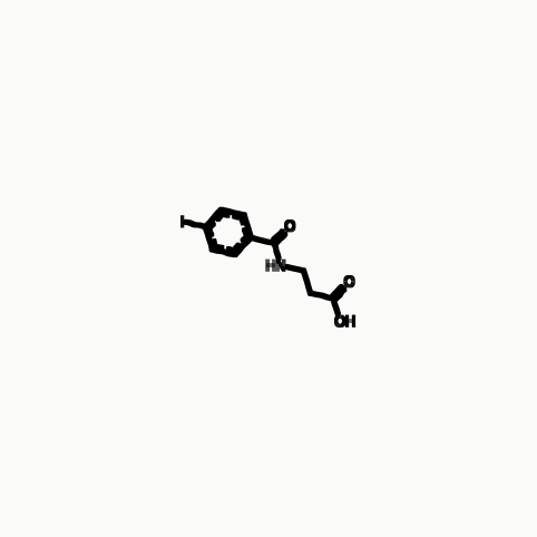 O=C(O)CCNC(=O)c1ccc(I)cc1